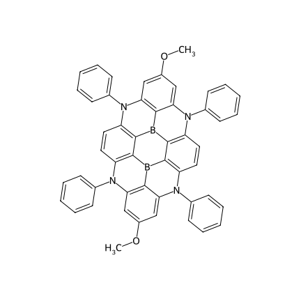 COc1cc2c3c(c1)N(c1ccccc1)c1ccc4c5c1B3c1c(ccc3c1B5c1c(cc(OC)cc1N4c1ccccc1)N3c1ccccc1)N2c1ccccc1